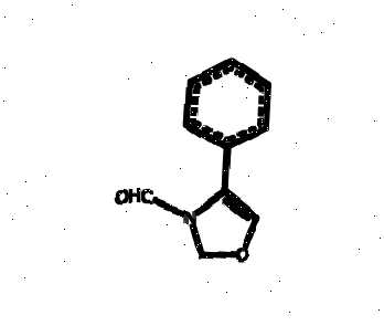 O=CN1COC=C1c1ccccc1